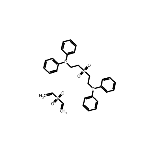 C=CS(=O)(=O)C=C.O=S(=O)(CCP(c1ccccc1)c1ccccc1)CCP(c1ccccc1)c1ccccc1